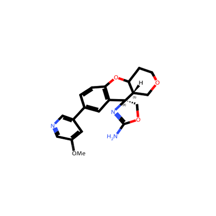 COc1cncc(-c2ccc3c(c2)[C@@]2(COC(N)=N2)[C@H]2COCCC2O3)c1